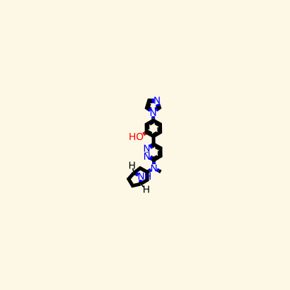 CN(c1ccc(-c2ccc(-n3ccnc3)cc2O)nn1)C1C[C@H]2CC[C@@H](C1)N2